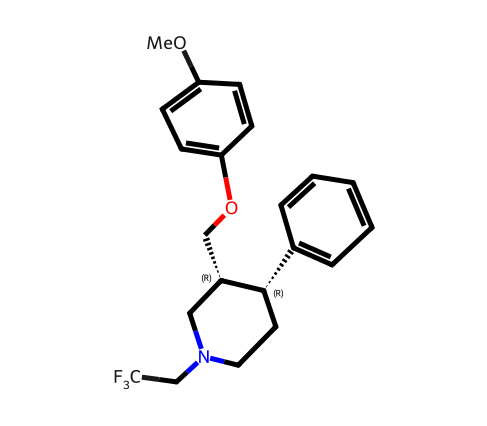 COc1ccc(OC[C@H]2CN(CC(F)(F)F)CC[C@H]2c2ccccc2)cc1